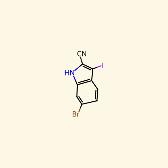 N#Cc1[nH]c2cc(Br)ccc2c1I